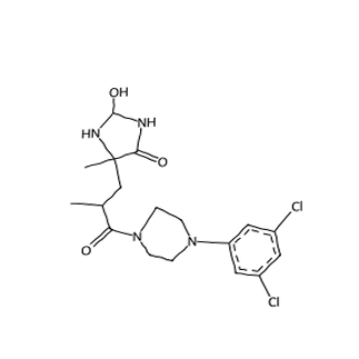 CC(CC1(C)NC(O)NC1=O)C(=O)N1CCN(c2cc(Cl)cc(Cl)c2)CC1